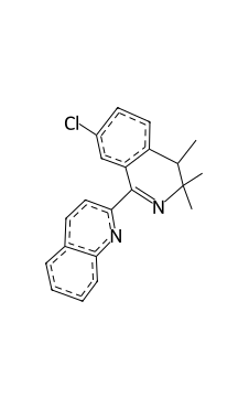 CC1c2ccc(Cl)cc2C(c2ccc3ccccc3n2)=NC1(C)C